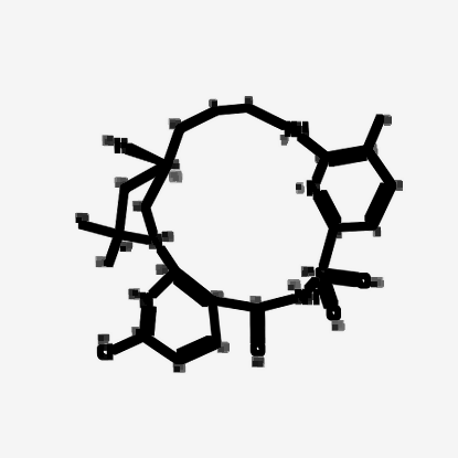 Cc1ccc2nc1NCCC[C@@H]1CN(c3nc(Cl)ccc3C(=O)NS2(=O)=O)C(C)(C)C1